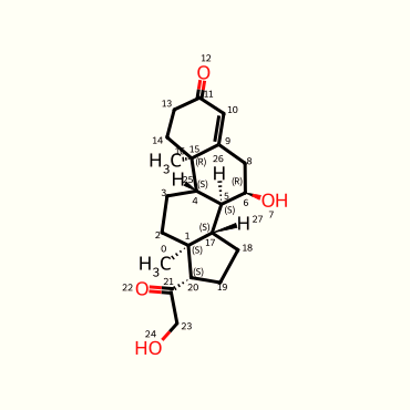 C[C@]12CC[C@H]3[C@@H]([C@H](O)CC4=CC(=O)CC[C@@]43C)[C@@H]1CC[C@@H]2C(=O)CO